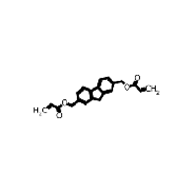 C=CC(=O)OCc1ccc2c(c1)Cc1cc(COC(=O)C=C)ccc1-2